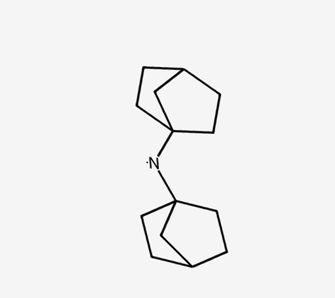 C1CC2([N]C34CCC(CC3)C4)CCC1C2